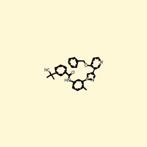 Cc1ccc(NC(=O)c2cccc(C(C)(C)C#N)c2)cc1-n1cc(-c2cnccc2OCc2ccccc2)cn1